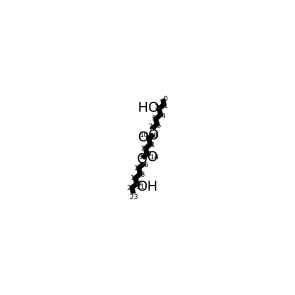 CCC(O)CCCCOC(=O)CCC(=O)OCCCCC(O)CC